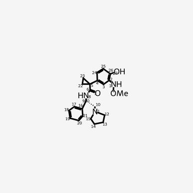 CONc1cc(C2(C(=O)N[C@H](CN3CCCC3)c3ccccc3)CC2)ccc1O